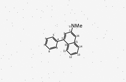 CNc1cc(-c2ccccc2)c2ccccc2c1